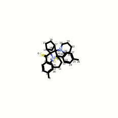 Cc1ccc(C(=S)C2(N3CCCCC3)C3CCC(C3)C2(C(=S)c2ccc(C)cc2)N2CCCCC2)cc1